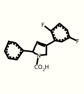 O=C(O)N1CC(c2cc(F)ccc2F)=CC1c1ccccc1